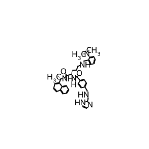 C[C@H](NC(=O)[C@H](CCCNCc1ccccc1N(C)C)NC(=O)c1ccc(CNCc2ncc[nH]2)cc1)c1cccc2ccccc12